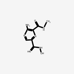 CNC(=O)c1nc(C(=N)NO)cnc1N